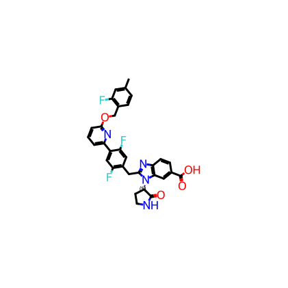 Cc1ccc(COc2cccc(-c3cc(F)c(Cc4nc5ccc(C(=O)O)cc5n4[C@H]4CCNC4=O)cc3F)n2)c(F)c1